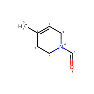 CC1=CCN(C=O)CC1